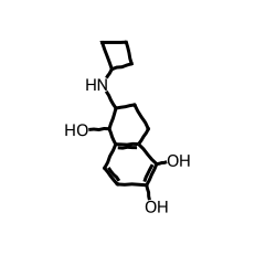 Oc1ccc2c(c1O)CCC(NC1CCC1)C2O